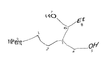 CCCCCCCC(CO)C(O)CC